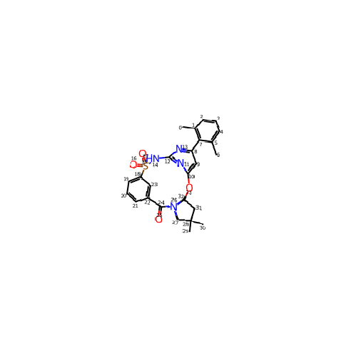 Cc1cccc(C)c1-c1cc2nc(n1)NS(=O)(=O)c1cccc(c1)C(=O)N1CC(C)(C)CC1O2